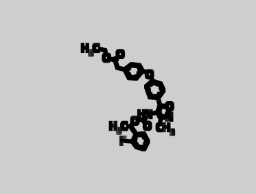 CCOC(=O)Cc1ccc(Oc2ccc(-c3onc(C)c3NC(=O)OC(C)c3ccccc3F)cc2)cc1